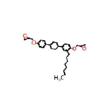 CCCCCCCCc1cc(C2=CC=C(c3ccc(OCC4CO4)cc3)CC2)ccc1OCC1CO1